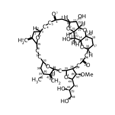 C=C1C[C@@H]2CCC(=O)C[C@H]3O[C@H]4[C@@H](O)[C@H]5O[C@H](CC[C@@H]5O[C@H]4[C@H]3O)CC(=O)CC3C(C[C@H]4OC(CCC1O2)C[C@@H](C)C4=C)OC(C[C@H](O)CO)[C@@H]3OC